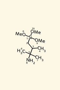 CO[Si](CC(C)C(C)(C)N)(OC)OC